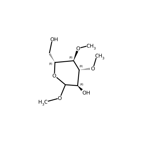 COC1O[C@H](CO)[C@@H](OC)[C@H](OC)[C@H]1O